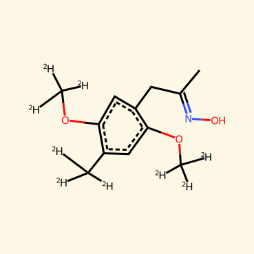 [2H]C([2H])([2H])Oc1cc(C([2H])([2H])[2H])c(OC([2H])([2H])[2H])cc1CC(C)=NO